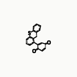 O=C1C=CC(=O)C(c2cccc3c2Cc2ccccc2S3)=C1